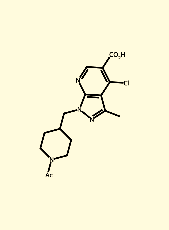 CC(=O)N1CCC(Cn2nc(C)c3c(Cl)c(C(=O)O)cnc32)CC1